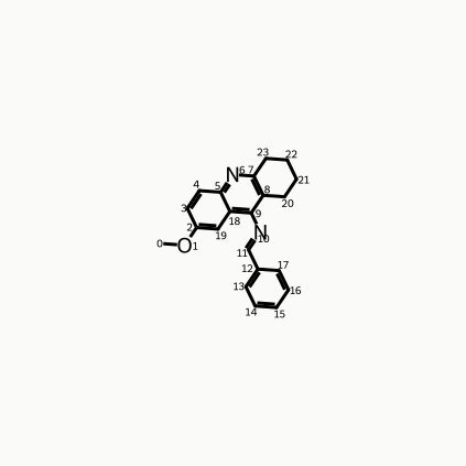 COc1ccc2nc3c(c(N=Cc4ccccc4)c2c1)CCCC3